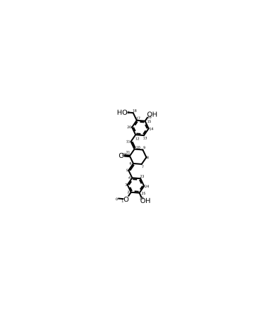 COc1cc(/C=C2\CCC/C(=C\c3ccc(O)c(CO)c3)C2=O)ccc1O